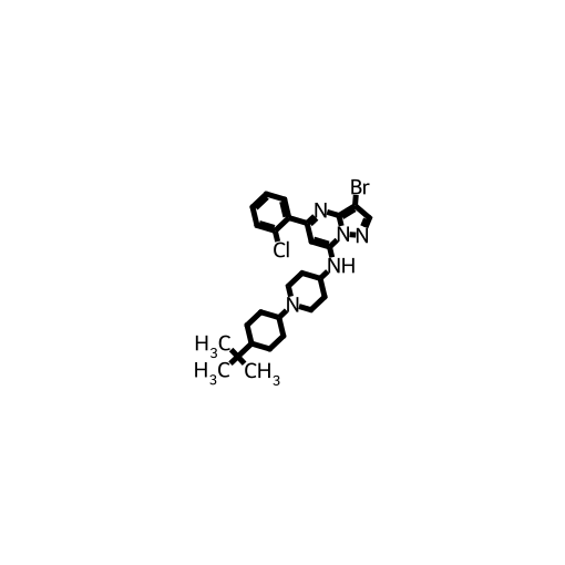 CC(C)(C)C1CCC(N2CCC(Nc3cc(-c4ccccc4Cl)nc4c(Br)cnn34)CC2)CC1